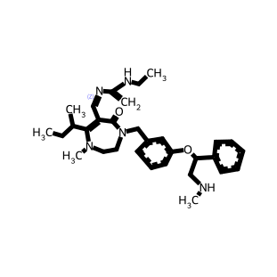 C=C(/N=C\C1=C(C(C)CC)N(C)CCN(Cc2cccc(OC(CNC)c3ccccc3)c2)C1=O)NCC